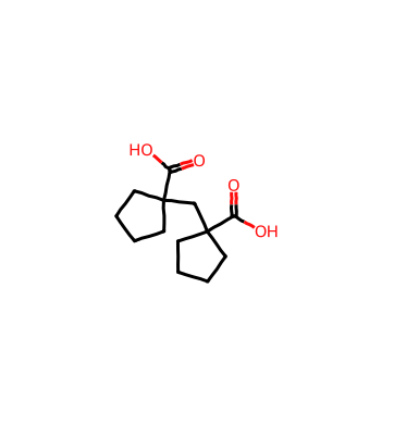 O=C(O)C1(CC2(C(=O)O)CCCC2)CCCC1